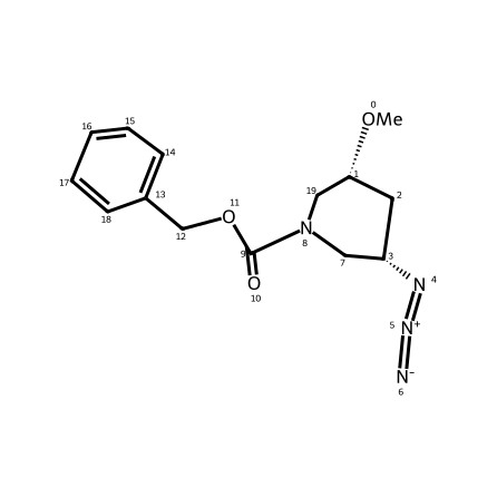 CO[C@@H]1C[C@H](N=[N+]=[N-])CN(C(=O)OCc2ccccc2)C1